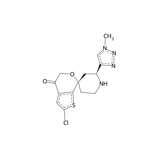 Cn1cc([C@@H]2C[C@]3(CCN2)OCC(=O)c2cc(Cl)sc23)nn1